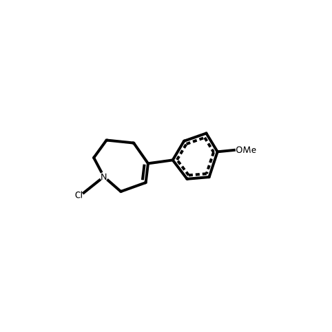 COc1ccc(C2=CCN(Cl)CCC2)cc1